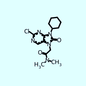 CN(C)C(=O)Cn1c(=O)n(C2CCCCC2)c2nc(Cl)ncc21